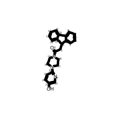 O=C(CC1c2ccccc2-c2ccccc21)N1CCN(c2ccc(O)cn2)CC1